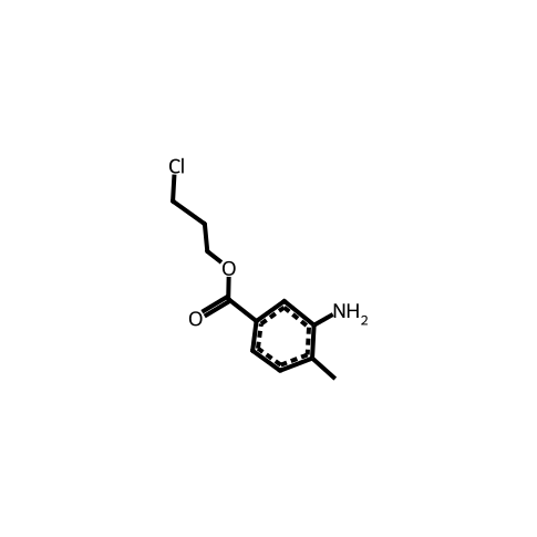 Cc1ccc(C(=O)OCCCCl)cc1N